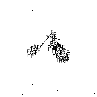 CCCCCCCCCP(CC)c1cc(F)c(F)c(C(F)(F)F)c1F.Fc1c(F)c(F)c(-c2c(F)c(F)c(F)c(F)c2F)c(F)c1F.Fc1c(F)c(F)c(-c2c(F)c(F)c(F)c(F)c2F)c(F)c1F.Fc1c(F)c(F)c(-c2c(F)c(F)c(F)c(F)c2F)c(F)c1F.Fc1c(F)c(F)c(-c2c(F)c(F)c(F)c(F)c2F)c(F)c1F.[O]=[Al][OH]